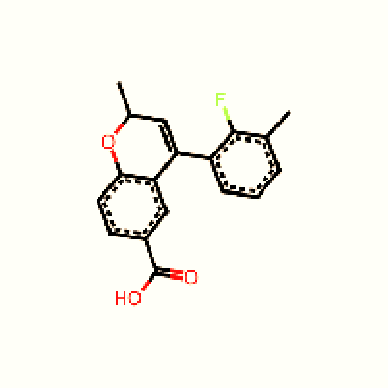 Cc1cccc(C2=CC(C)Oc3ccc(C(=O)O)cc32)c1F